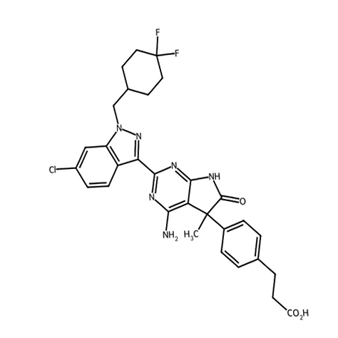 CC1(c2ccc(CCC(=O)O)cc2)C(=O)Nc2nc(-c3nn(CC4CCC(F)(F)CC4)c4cc(Cl)ccc34)nc(N)c21